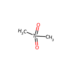 [CH3][Ti]([CH3])(=[O])=[O]